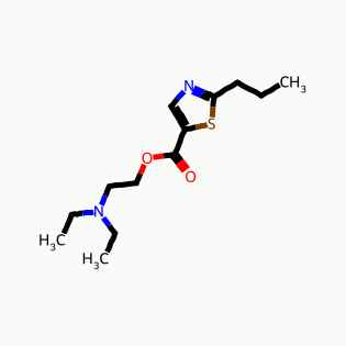 CCCc1ncc(C(=O)OCCN(CC)CC)s1